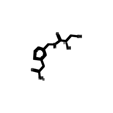 NC(=O)Cc1cccc(CNC(=O)[C@@H](S)CO)c1